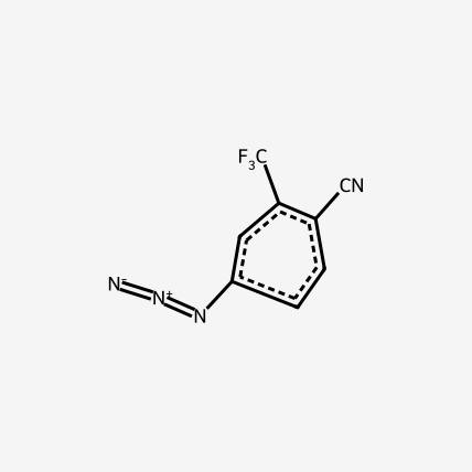 N#Cc1ccc(N=[N+]=[N-])cc1C(F)(F)F